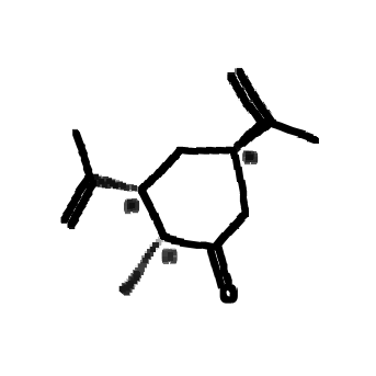 C=C(C)[C@H]1CC(=O)[C@H](C)[C@H](C(=C)C)C1